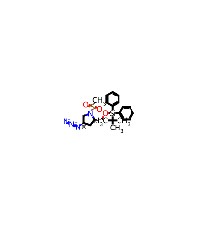 CC(C)(C)[Si](OC[C@@H]1C[C@@H](N=[N+]=[N-])CN1S(C)(=O)=O)(c1ccccc1)c1ccccc1